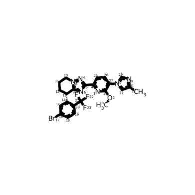 COc1nc(-c2nc3n(n2)CCC[C@H]3c2cc(Br)ccc2C(F)(F)F)ccc1-n1cnc(C)c1